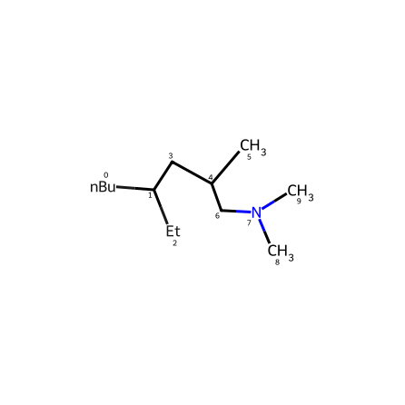 CCCCC(CC)CC(C)CN(C)C